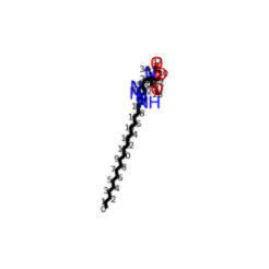 CCCCCCCCCCCCCCCCCCCCNn1cc(CC2(COC)COC(=O)N2C)nn1